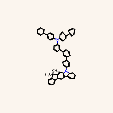 CC1(C)c2ccccc2-c2cc3c4ccccc4n(-c4ccc(-c5cccc(-c6cccc(N(c7ccc(-c8ccccc8)cc7)c7ccc(-c8ccccc8)cc7)c6)c5)cc4)c3cc21